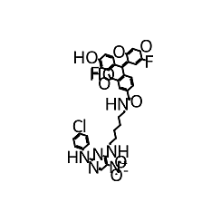 O=C(NCCCCCCNc1nc(Nc2ccc(Cl)cc2)ncc1[N+](=O)[O-])c1ccc(-c2c3cc(F)c(=O)cc-3oc3cc(O)c(F)cc23)c(C(=O)O)c1